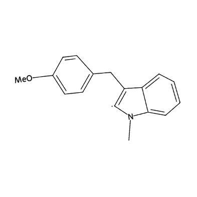 COc1ccc(Cc2[c]n(C)c3ccccc23)cc1